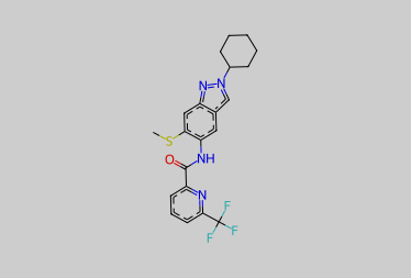 CSc1cc2nn(C3CCCCC3)cc2cc1NC(=O)c1cccc(C(F)(F)F)n1